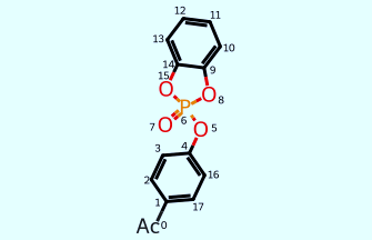 CC(=O)c1ccc(OP2(=O)Oc3ccccc3O2)cc1